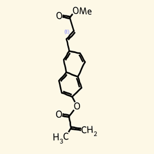 C=C(C)C(=O)Oc1ccc2cc(/C=C/C(=O)OC)ccc2c1